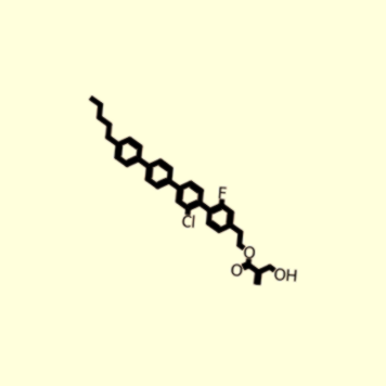 C=C(CO)C(=O)OCCc1ccc(-c2ccc(-c3ccc(-c4ccc(CCCCC)cc4)cc3)cc2Cl)c(F)c1